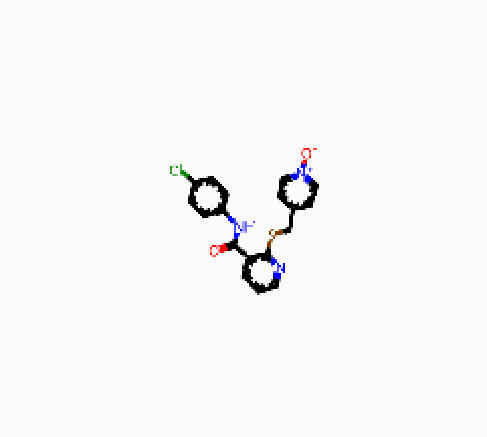 O=C(Nc1ccc(Cl)cc1)c1cccnc1SCc1cc[n+]([O-])cc1